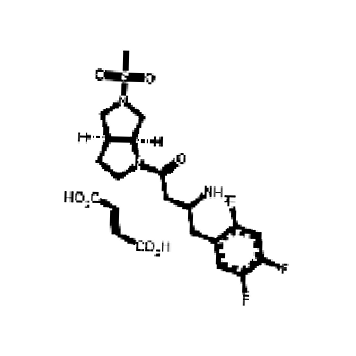 CS(=O)(=O)N1C[C@@H]2CCN(C(=O)CC(N)Cc3cc(F)c(F)cc3F)[C@@H]2C1.O=C(O)C=CC(=O)O